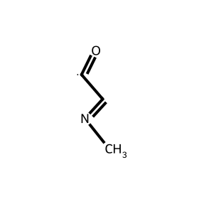 CN=C[C]=O